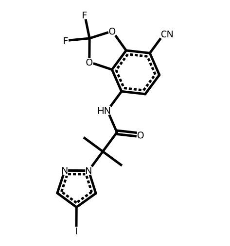 CC(C)(C(=O)Nc1ccc(C#N)c2c1OC(F)(F)O2)n1cc(I)cn1